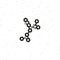 C1=c2c(n(-c3nc(-c4ccccc4)c4ccccc4n3)c3ccc(-c4ccc5c(c4)c4ccccc4n5-c4ccccc4)cc23)=CC2Cc3ccccc3N=C12